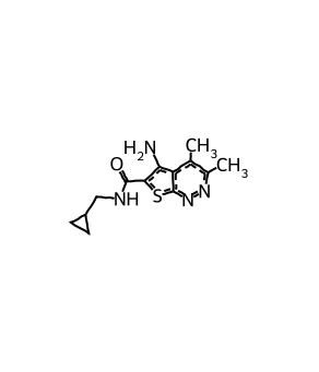 Cc1nnc2sc(C(=O)NCC3CC3)c(N)c2c1C